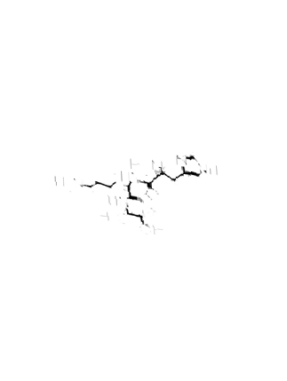 C[C@H](NC(=O)[C@H](CCCCN)NC(=O)[C@@H](N)Cc1c[nH]cn1)C(=O)O